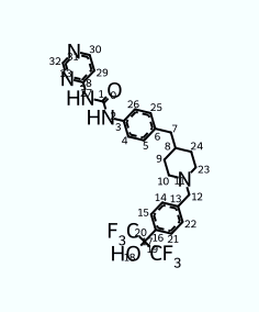 O=C(Nc1ccc(CC2CCN(Cc3ccc(C(O)(C(F)(F)F)C(F)(F)F)cc3)CC2)cc1)Nc1ccncn1